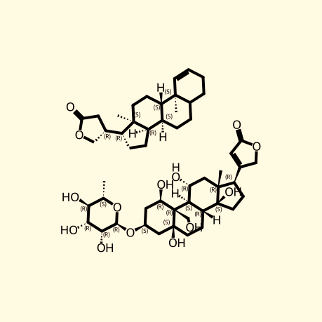 C[C@@H]1O[C@@H](O[C@H]2C[C@@H](O)[C@]3(CO)[C@H]4[C@H](O)C[C@]5(C)[C@@H](C6=CC(=O)OC6)CC[C@]5(O)[C@@H]4CC[C@]3(O)C2)[C@H](O)[C@H](O)[C@H]1O.C[C@]12CC[C@H]3[C@@H](CCC4CCC=C[C@@]43C)[C@H]1CC[C@@H]2[C@@H]1COC(=O)C1